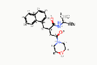 CCCCC([C]=O)NC(=O)C(CC(=O)N1CCOCC1)Cc1cccc2ccccc12